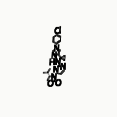 CC(C)[C@H]1COC(=O)N1c1ccnc(NC2(c3cn(-c4ccc(Cl)cc4)cn3)CC2)n1